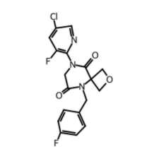 O=C1CN(c2ncc(Cl)cc2F)C(=O)C2(COC2)N1Cc1ccc(F)cc1